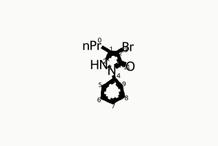 CCCc1[nH]n(-c2ccccc2)c(=O)c1Br